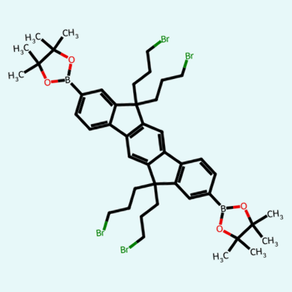 CC1(C)OB(c2ccc3c(c2)C(CCCBr)(CCCBr)c2cc4c(cc2-3)C(CCCBr)(CCCBr)c2cc(B3OC(C)(C)C(C)(C)O3)ccc2-4)OC1(C)C